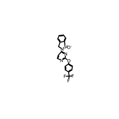 [O-][S+]1c2ccccc2CN1c1ccnc(Oc2ccc(C(F)(F)F)cc2)n1